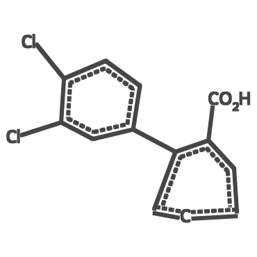 O=C(O)c1ccccc1-c1ccc(Cl)c(Cl)c1